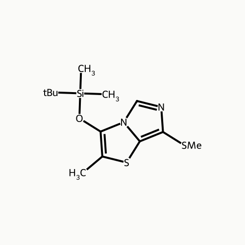 CSc1ncn2c(O[Si](C)(C)C(C)(C)C)c(C)sc12